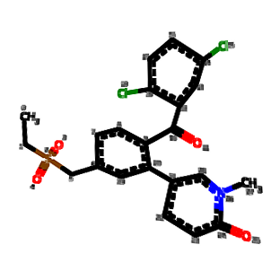 CCS(=O)(=O)Cc1ccc(C(=O)c2cc(Cl)ccc2Cl)c(-c2ccc(=O)n(C)c2)c1